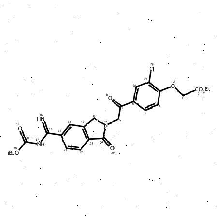 CCOC(=O)COc1ccc(C(=O)CN2Cc3cc(C(=N)NC(=O)OCC(C)C)ccc3C2=O)cc1Cl